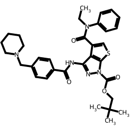 CCN(C(=O)c1csc2c1c(NC(=O)c1ccc(CN3CCCCC3)cc1)nn2C(=O)OCC(C)(C)C)c1ccccc1